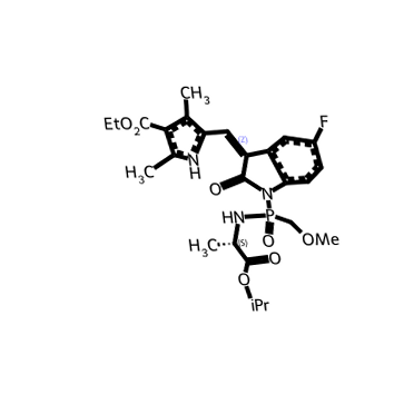 CCOC(=O)c1c(C)[nH]c(/C=C2\C(=O)N(P(=O)(COC)N[C@@H](C)C(=O)OC(C)C)c3ccc(F)cc32)c1C